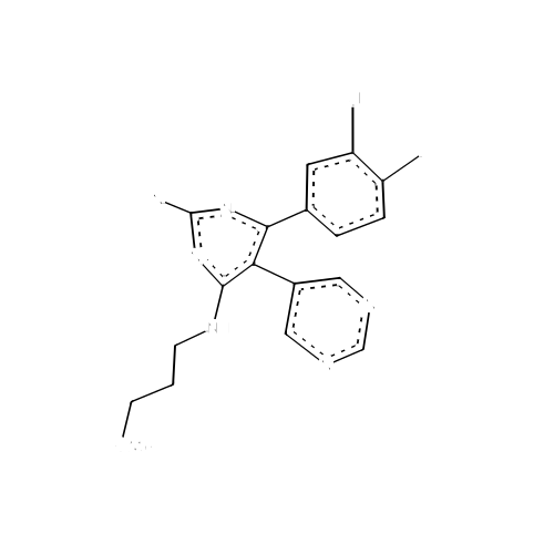 COCCCNc1nc(N)nc(-c2ccc(F)c(Cl)c2)c1-c1cncnc1